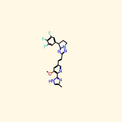 COc1cc(C=Cc2nc3n(n2)CCC3c2cc(F)c(F)c(F)c2)cnc1-c1nc(C)c[nH]1